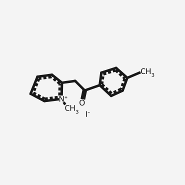 Cc1ccc(C(=O)Cc2cccc[n+]2C)cc1.[I-]